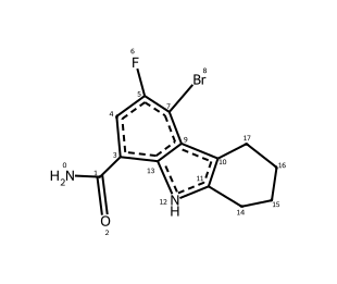 NC(=O)c1cc(F)c(Br)c2c3c([nH]c12)CCCC3